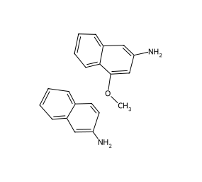 COc1cc(N)cc2ccccc12.Nc1ccc2ccccc2c1